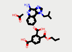 CC(=O)O.CC(C)Cn1cnc2c(N)nc3ccccc3c21.CCCOC(=O)c1ccc(C(=O)O)cc1C(=O)O